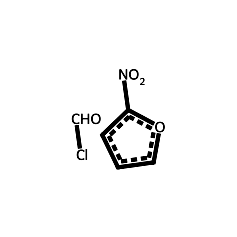 O=CCl.O=[N+]([O-])c1ccco1